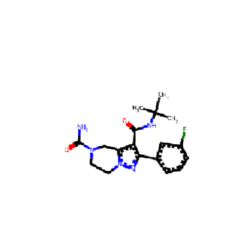 CC(C)(C)NC(=O)c1c(-c2cccc(F)c2)nn2c1CN(C(N)=O)CC2